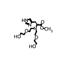 COC(=O)[C@H](Cc1c[nH]cn1)N(CCOCCO)CCOCCO